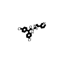 O=C(Nc1ncc(-c2cccnc2)s1)C(c1ccc(Cl)cc1)c1ccc(Cl)cc1